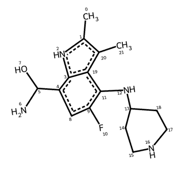 Cc1[nH]c2c(C(N)O)cc(F)c(NC3CCNCC3)c2c1C